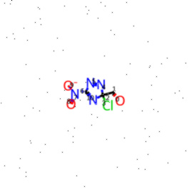 O=CC1(Cl)N=NC([N+](=O)[O-])=N1